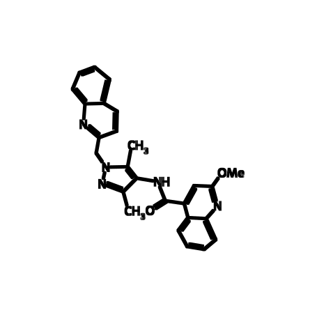 COc1cc(C(=O)Nc2c(C)nn(Cc3ccc4ccccc4n3)c2C)c2ccccc2n1